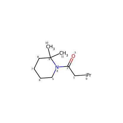 CC(C)CC(=O)N1CCCCC1(C)C